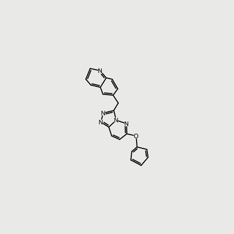 c1ccc(Oc2ccc3nnc(Cc4ccc5ncccc5c4)n3n2)cc1